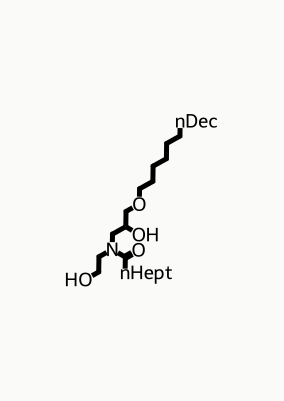 CCCCCCCCCCCCCCCCOCC(O)CN(CCO)C(=O)CCCCCCC